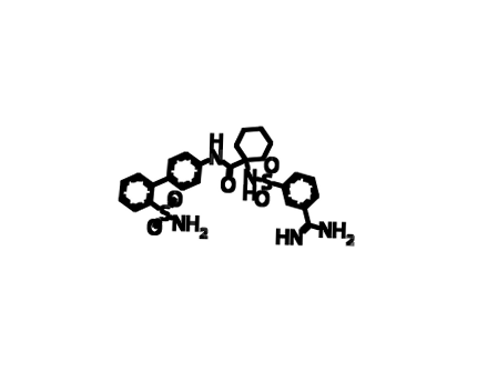 N=C(N)c1cccc(S(=O)(=O)NC2(C(=O)Nc3ccc(-c4ccccc4S(N)(=O)=O)cc3)CCCCC2)c1